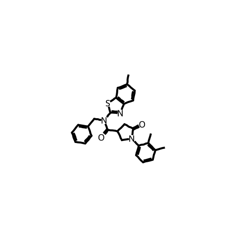 Cc1ccc2nc(N(Cc3ccccc3)C(=O)C3CC(=O)N(c4cccc(C)c4C)C3)sc2c1